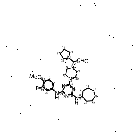 COc1ccc(Nc2nc(NC3CCCCCC3)nc(N3CCN(C(C=O)N4CCCC4)CC3)n2)cc1F